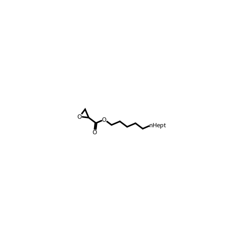 CCCCCCCCCCCCOC(=O)C1CO1